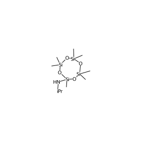 CC(C)N[Si]1(C)O[Si](C)(C)O[Si](C)(C)O[Si](C)(C)O1